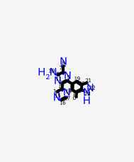 Cc1cc(-c2nc(C#N)c(N)nc2-c2cnccn2)cc2cn[nH]c12